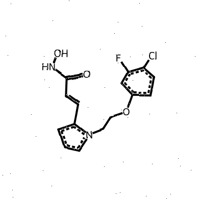 O=C(/C=C/c1cccn1CCOc1ccc(Cl)c(F)c1)NO